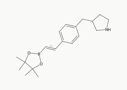 CC1(C)OB(/C=C/c2ccc(CC3CCNC3)cc2)OC1(C)C